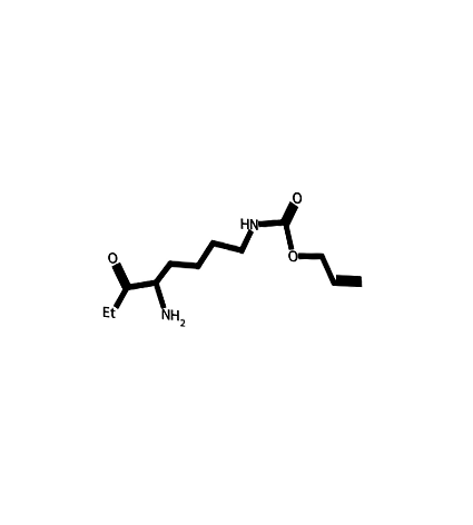 C=CCOC(=O)NCCCCC(N)C(=O)CC